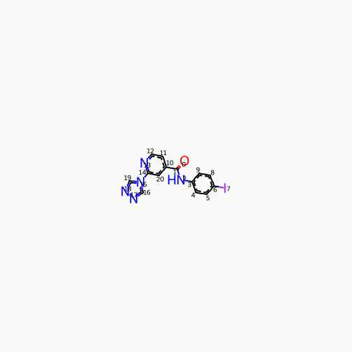 O=C(Nc1ccc(I)cc1)c1ccnc(-n2cnnc2)c1